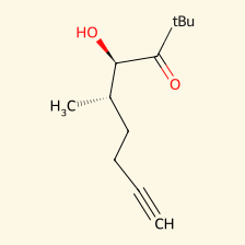 C#CCC[C@H](C)[C@@H](O)C(=O)C(C)(C)C